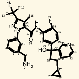 NCc1cccc(-n2nc(C(F)(F)F)c(I)c2C(=O)Nc2cc(C(O)(CCC3CC3)c3cccnc3)ccc2F)c1